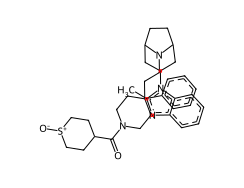 Cc1nc2ccccc2n1C1CC2CCC(C1)N2CCC1(c2ccccc2)CCN(C(=O)C2CC[S+]([O-])CC2)CC1